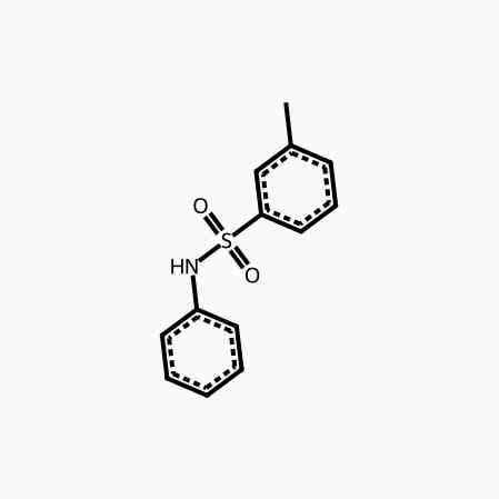 Cc1cccc(S(=O)(=O)Nc2ccccc2)c1